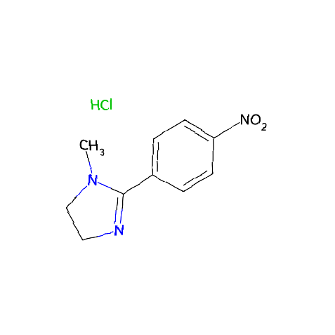 CN1CCN=C1c1ccc([N+](=O)[O-])cc1.Cl